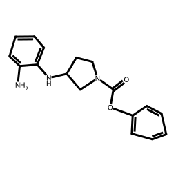 Nc1ccccc1NC1CCN(C(=O)Oc2ccccc2)C1